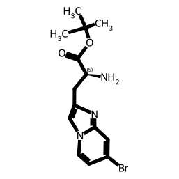 CC(C)(C)OC(=O)[C@@H](N)Cc1cn2ccc(Br)cc2n1